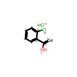 Cl.OC(=[Se])c1ccccc1Cl